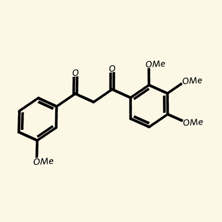 COc1cccc(C(=O)CC(=O)c2ccc(OC)c(OC)c2OC)c1